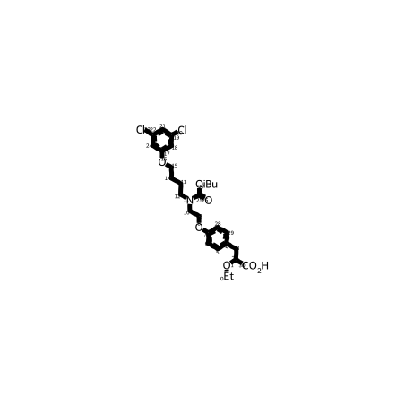 CCOC(Cc1ccc(OCCN(CCCCOc2cc(Cl)cc(Cl)c2)C(=O)OCC(C)C)cc1)C(=O)O